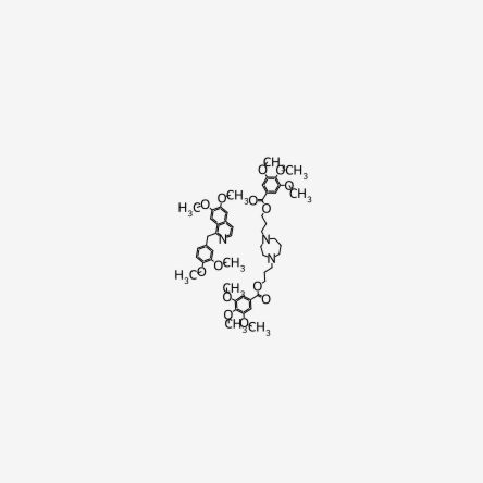 COc1cc(C(=O)OCCCN2CCCN(CCCOC(=O)c3cc(OC)c(OC)c(OC)c3)CC2)cc(OC)c1OC.COc1ccc(Cc2nccc3cc(OC)c(OC)cc23)cc1OC